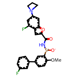 COc1ccc(-c2cccc(F)c2)cc1[S+]([O-])NC(=O)c1cc2c(F)cc(N3CCC3)cc2o1